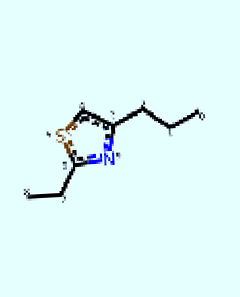 CCCc1csc(CC)n1